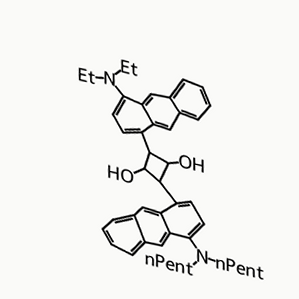 CCCCCN(CCCCC)c1ccc(C2C(O)C(c3ccc(N(CC)CC)c4cc5ccccc5cc34)C2O)c2cc3ccccc3cc12